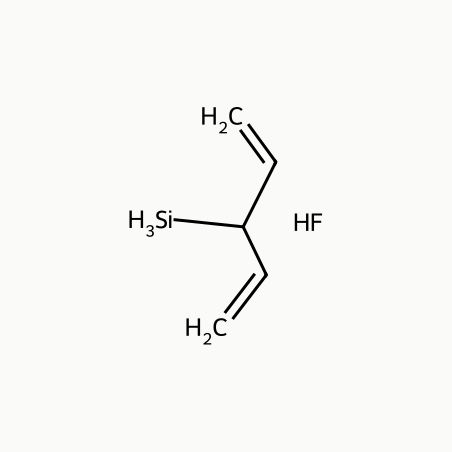 C=CC([SiH3])C=C.F